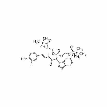 CC(C)(C)C(=O)OCOP(=O)(OCOC(=O)C(C)(C)C)C(C(=O)N/C=C/c1ccc(S)c(F)c1)c1csc2ccc(Cl)cc12